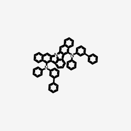 c1ccc(-c2cccc(N(c3ccccc3)c3c4ccccc4cc4c3c3cccc5c6c(N(c7ccccc7)c7cccc(-c8ccccc8)c7)c7ccccc7cc6n4c35)c2)cc1